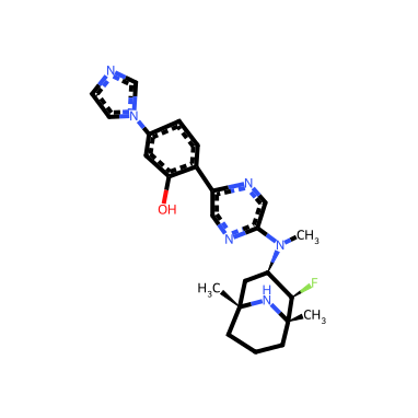 CN(c1cnc(-c2ccc(-n3ccnc3)cc2O)cn1)[C@@H]1C[C@@]2(C)CCC[C@](C)(N2)[C@@H]1F